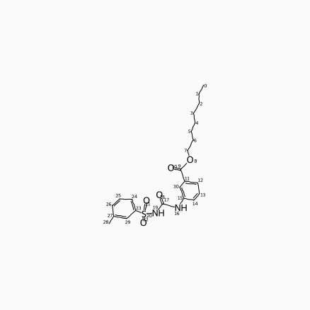 CCCCCCCCOC(=O)c1cccc(NC(=O)NS(=O)(=O)c2cccc(C)c2)c1